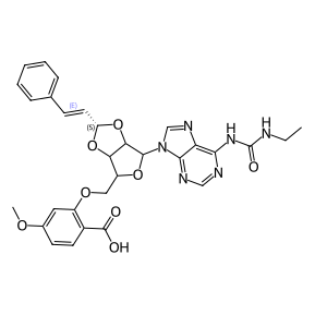 CCNC(=O)Nc1ncnc2c1ncn2C1OC(COc2cc(OC)ccc2C(=O)O)C2O[C@H](/C=C/c3ccccc3)OC21